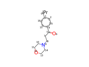 CC(C)c1ccc(C(=O)CCN2CCOCC2)cc1